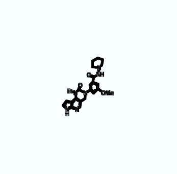 CCN1C(=O)N(c2cc(OC)cc(C(=O)NN3CCCCC3)c2)Cc2cnc3[nH]ccc3c21